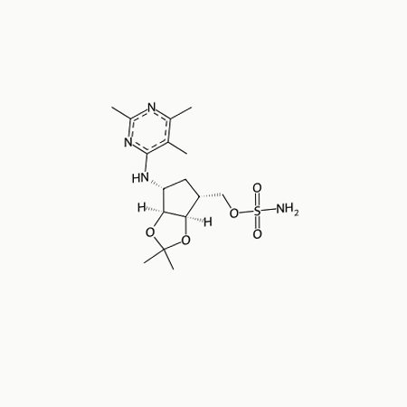 Cc1nc(C)c(C)c(N[C@@H]2C[C@H](COS(N)(=O)=O)[C@H]3OC(C)(C)O[C@H]32)n1